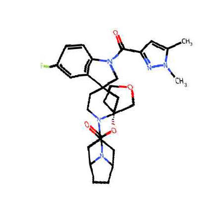 Cc1cc(C(=O)N2CC3(CCN(C4CC5CCC(C4)N5C(=O)O[C@@H]4CCOC4)CC3)c3cc(F)ccc32)nn1C